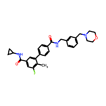 Cc1c(F)cc(C(=O)NC2CC2)cc1-c1ccc(C(=O)NCc2cccc(CN3CCOCC3)c2)cc1